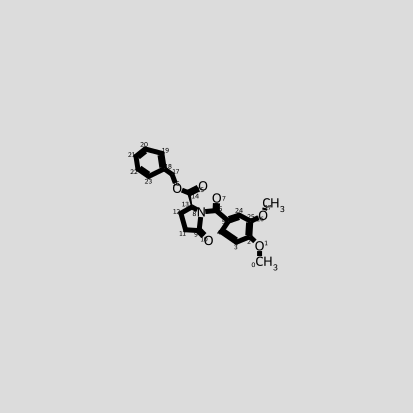 COc1ccc(C(=O)N2C(=O)CC[C@H]2C(=O)OCc2ccccc2)cc1OC